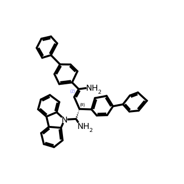 N/C(=C\[C@H](c1ccc(-c2ccccc2)cc1)C(N)n1c2ccccc2c2ccccc21)c1ccc(-c2ccccc2)cc1